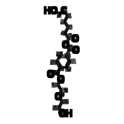 O=C(O)CCCCC(=O)OC(=O)c1ccc(C(=O)OCCOCCO)cc1